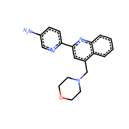 Nc1ccc(-c2cc(CN3CCOCC3)c3ccccc3n2)nc1